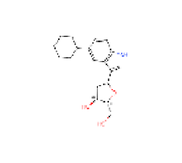 OC[C@H]1OC(c2c[nH]c3ccc(C4CCCCC4)cc23)C[C@@H]1O